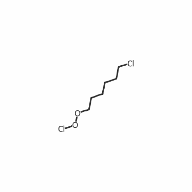 ClCCCCCCOOCl